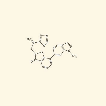 C=C(CN1Cc2c(cccc2-c2ccc3cnn(C)c3c2)C1=O)c1nnco1